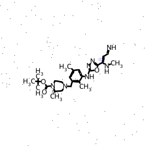 CN/C(=C\C=N)c1nnc(Nc2cc(C)cc(CN3CCN(C(=O)OC(C)(C)C)[C@@H](C)C3)c2C)o1